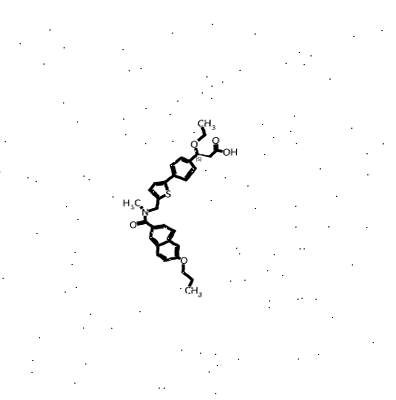 CCCOc1ccc2cc(C(=O)N(C)Cc3ccc(-c4ccc([C@H](CC(=O)O)OCC)cc4)s3)ccc2c1